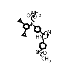 CCS(=O)(=O)c1ccc([C@H](CC#N)NC(=O)c2ccc(N(CCS(N)(=O)=O)c3cc(C4CC4)cc(C4CC4)c3)cc2)cc1